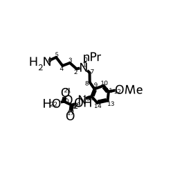 CCCN(CCCCN)CCc1cc(OC)ccc1[N+](=O)[O-].O=C(O)C(=O)O